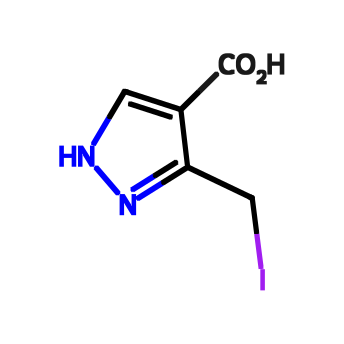 O=C(O)c1c[nH]nc1CI